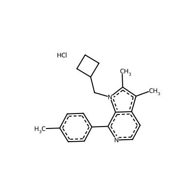 Cc1ccc(-c2nccc3c(C)c(C)n(CC4CCC4)c23)cc1.Cl